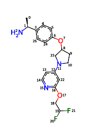 C[C@H](N)c1ccc(OC2CCN(c3ccnc(OCC(F)F)c3)C2)cc1